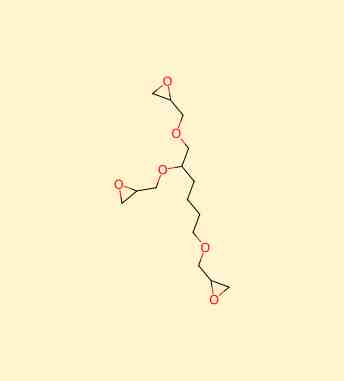 C(CCC(COCC1CO1)OCC1CO1)COCC1CO1